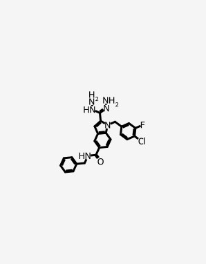 N/N=C(\NN)c1cc2cc(C(=O)NCc3ccccc3)ccc2n1Cc1ccc(Cl)c(F)c1